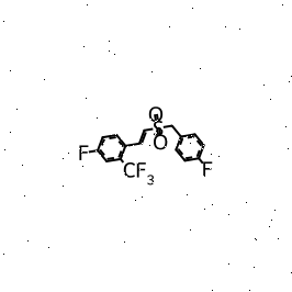 O=S(=O)(/C=C/c1ccc(F)cc1C(F)(F)F)Cc1ccc(F)cc1